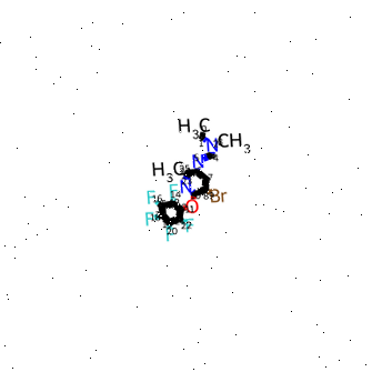 CCN(C)/C=N/c1cc(Br)c(Oc2c(F)c(F)c(F)c(F)c2F)nc1C